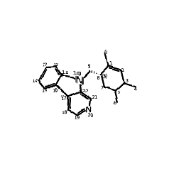 CC1=CC(C)C(C)C[C@@H]1Cn1c2ccccc2c2ccncc21